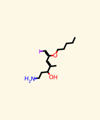 CCCCCOC(=C/I)/C=C(\C)C(O)CCN